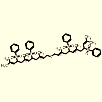 CC(C)=CC(C/C(C)=C/C(C/C(C)=C/CSC/C=C(\C)CC(/C=C(\C)CC(C=C(C)C)S(=O)(=O)c1ccccc1)S(=O)(=O)c1ccccc1)S(=O)(=O)c1ccccc1)S(=O)(=O)c1ccccc1